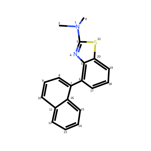 CN(C)c1nc2c(-c3cccc4ccccc34)cccc2s1